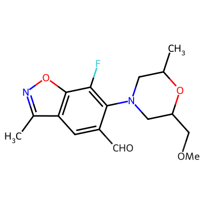 COCC1CN(c2c(C=O)cc3c(C)noc3c2F)CC(C)O1